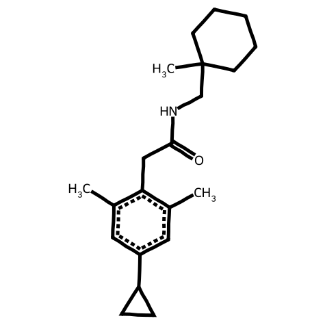 Cc1cc(C2CC2)cc(C)c1CC(=O)NCC1(C)CCCCC1